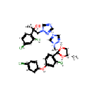 CCCCC(O)(Cn1cncn1)c1ccc(Cl)cc1Cl.C[C@H]1CO[C@](Cn2cncn2)(c2ccc(Oc3ccc(Cl)cc3)cc2Cl)O1